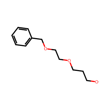 [O]CCCOCCOCc1ccccc1